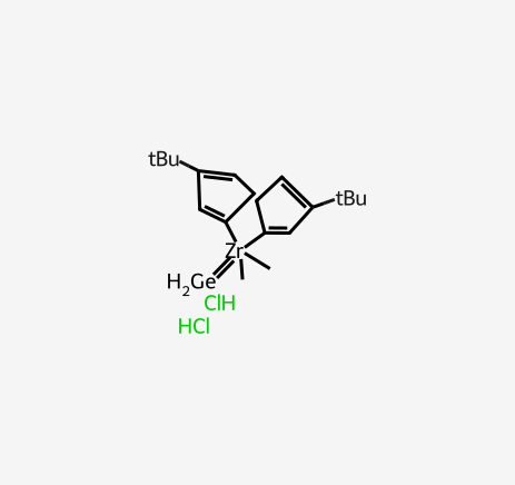 CC(C)(C)C1=CC[C]([Zr]([CH3])([CH3])(=[GeH2])[C]2=CC(C(C)(C)C)=CC2)=C1.Cl.Cl